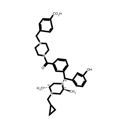 C[C@@H]1CN([C@@H](c2cccc(O)c2)c2cccc(C(=O)N3CCN(Cc4ccc(C(=O)O)cc4)CC3)c2)[C@@H](C)CN1CC1CC1